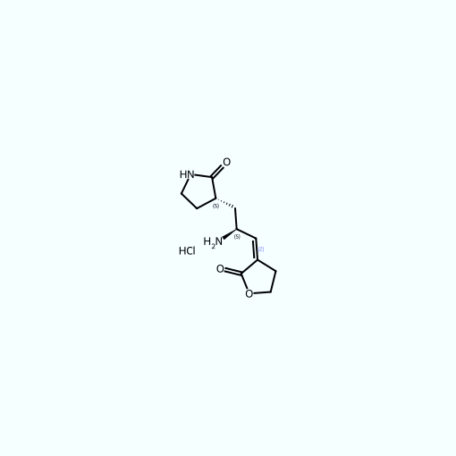 Cl.N[C@H](/C=C1/CCOC1=O)C[C@@H]1CCNC1=O